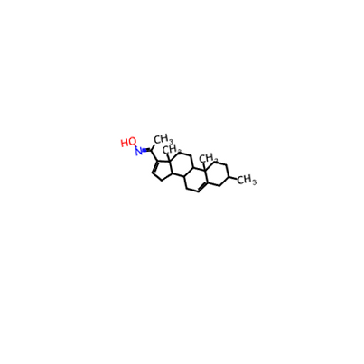 C/C(=N\O)C1=CCC2C3CC=C4CC(C)CCC4(C)C3CCC12C